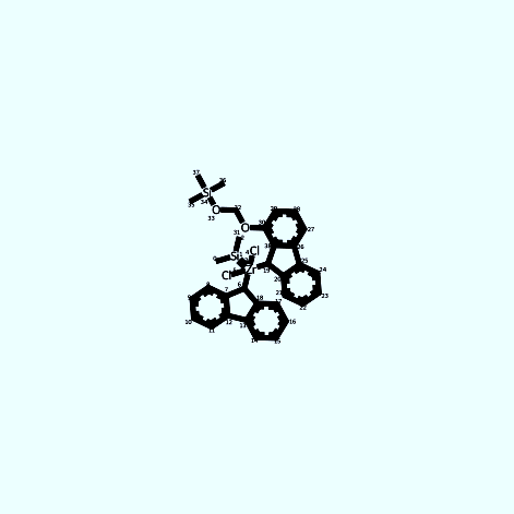 C[Si](C)=[Zr]([Cl])([Cl])([CH]1c2ccccc2-c2ccccc21)[CH]1c2ccccc2-c2cccc(OCO[Si](C)(C)C)c21